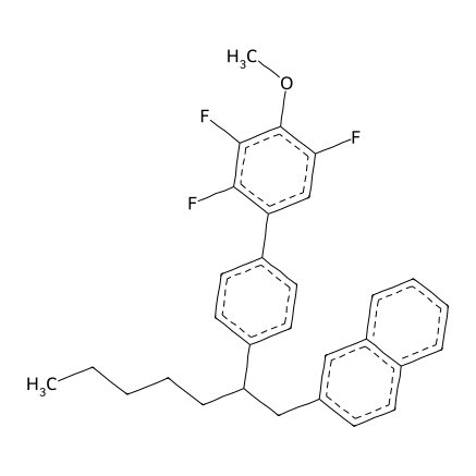 CCCCCC(Cc1ccc2ccccc2c1)c1ccc(-c2cc(F)c(OC)c(F)c2F)cc1